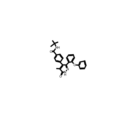 Cc1c(-c2ccc(C(=O)NC(C)(C)C)cc2)c(-c2ccccc2Oc2ccccc2)n[nH]c1=O